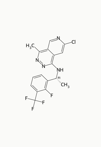 Cc1nnc(N[C@H](C)c2cccc(C(F)(F)F)c2F)c2cc(Cl)ncc12